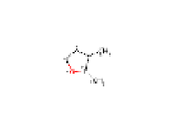 CC1CCO[C@H]1C